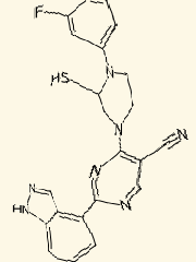 N#Cc1cnc(-c2cccc3[nH]ncc23)nc1N1CCN(c2cccc(F)c2)C(S)C1